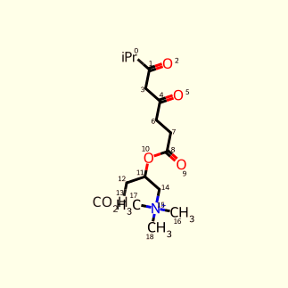 CC(C)C(=O)CC(=O)CCC(=O)OC(CC(=O)O)C[N+](C)(C)C